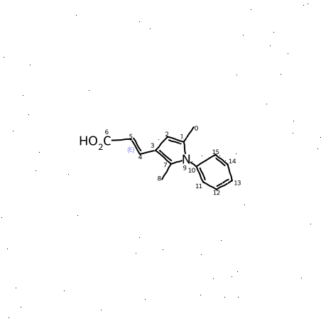 Cc1cc(/C=C/C(=O)O)c(C)n1-c1ccccc1